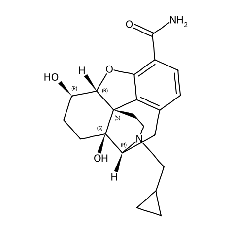 NC(=O)c1ccc2c3c1O[C@H]1[C@H](O)CC[C@@]4(O)[C@@H](C2)N(CC2CC2)CC[C@]314